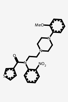 COc1ccccc1N1CCN(CCN(C(=O)c2ccsc2)c2ccccc2[N+](=O)[O-])CC1